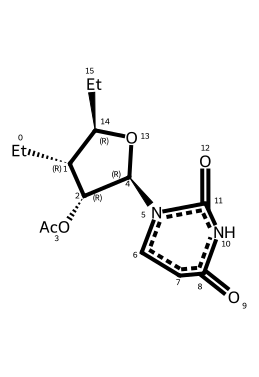 CC[C@H]1[C@@H](OC(C)=O)[C@H](n2ccc(=O)[nH]c2=O)O[C@@H]1CC